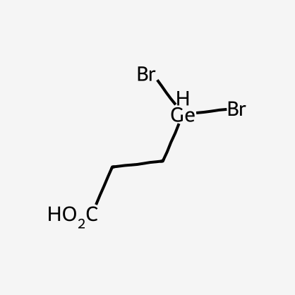 O=C(O)C[CH2][GeH]([Br])[Br]